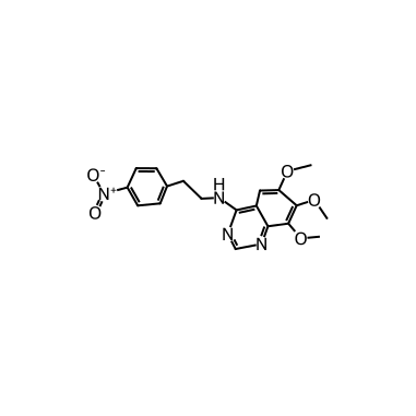 COc1cc2c(NCCc3ccc([N+](=O)[O-])cc3)ncnc2c(OC)c1OC